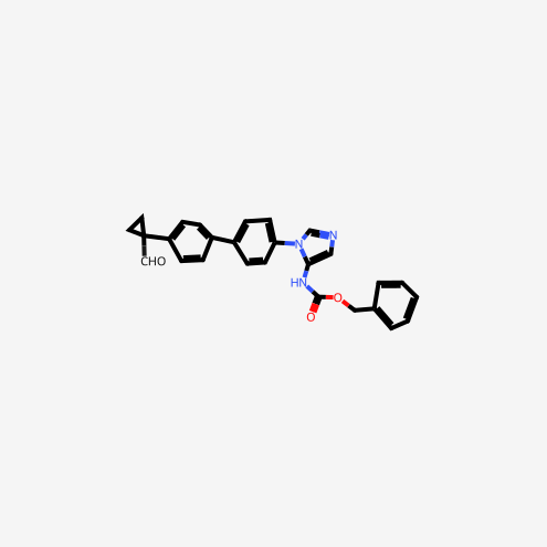 O=CC1(c2ccc(-c3ccc(-n4cncc4NC(=O)OCc4ccccc4)cc3)cc2)CC1